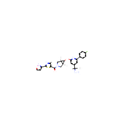 Cc1nc(-c2ccon2)sc1C(=O)N1C[C@@H]2C(Oc3cc(C(C)(C)N)cc(-c4ccc(F)cc4)n3)[C@@H]2C1